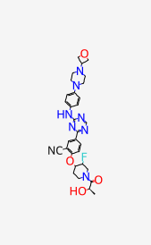 C[C@@H](O)C(=O)N1CC[C@H](Oc2ccc(-c3ncnc(Nc4ccc(N5CCN(C6COC6)CC5)cc4)n3)cc2C#N)[C@@H](F)C1